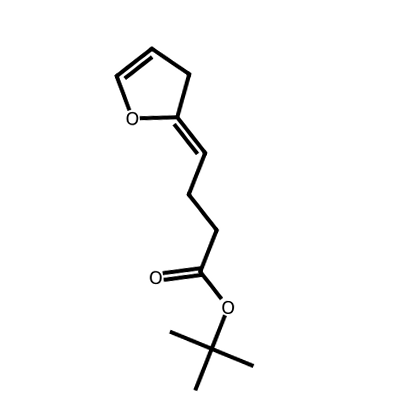 CC(C)(C)OC(=O)CCC=C1CC=CO1